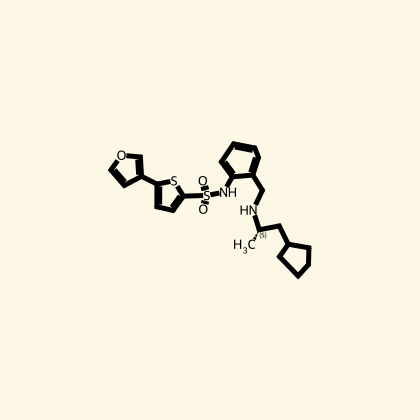 C[C@@H](CC1CCCC1)NCc1ccccc1NS(=O)(=O)c1ccc(-c2ccoc2)s1